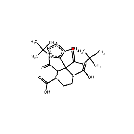 Cn1nnnc1C1(C(=O)OC(C)(C)C)C(C(=O)OC(C)(C)C)N(C(=O)O)CCN1C(=O)O